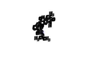 CN(C)C/C=C/C(=O)N(C)c1cccc2c1CN(C(=O)c1cc3c(cc1O)NC(=O)C3(C)C)C2